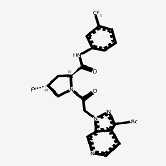 CC(=O)c1nn(CC(=O)N2C[C@H](F)C[C@H]2C(=O)Nc2cccc(C(F)(F)F)c2)c2cnccc12